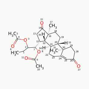 CCC(OC(C)=O)C(OC(C)=O)[C@@H]1CC(=O)[C@@]2(C)CC[C@H]3[C@@H](CCC4=CC(=O)CC[C@@]43C)[C@H]12